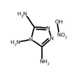 Nc1nnc(N)n1N.O=[N+]([O-])O